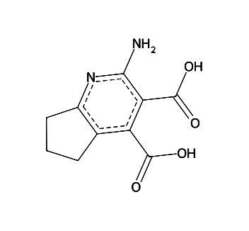 Nc1nc2c(c(C(=O)O)c1C(=O)O)CCC2